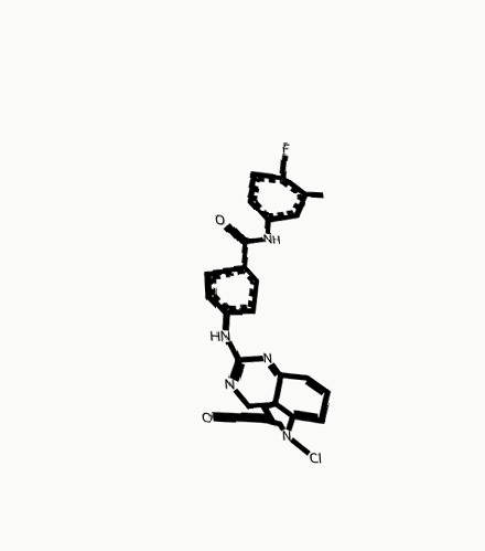 Cc1cc(NC(=O)c2ccc(NC3=NCC45CC(=O)CCN(Cl)C4=CC=CC5=N3)cc2)ccc1F